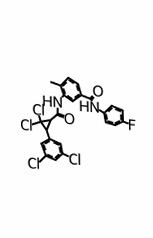 Cc1ccc(C(=O)Nc2ccc(F)cc2)cc1NC(=O)C1C(c2cc(Cl)cc(Cl)c2)C1(Cl)Cl